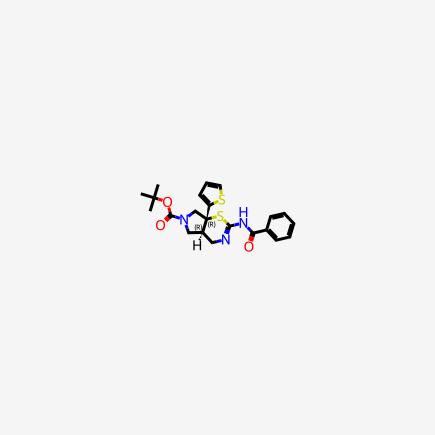 CC(C)(C)OC(=O)N1C[C@@H]2CN=C(NC(=O)c3ccccc3)S[C@@]2(c2cccs2)C1